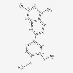 CCc1ccc(-c2ccc3c(C)cc(N)cc3c2)cc1CN